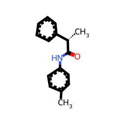 Cc1ccc(NC(=O)[C@@H](C)c2ccccc2)cc1